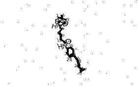 CC(C)(C)S(=O)(=O)NCCCCC(=O)Nc1ccc(CCC2CC2)cc1